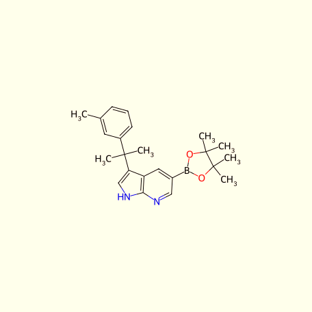 Cc1cccc(C(C)(C)c2c[nH]c3ncc(B4OC(C)(C)C(C)(C)O4)cc23)c1